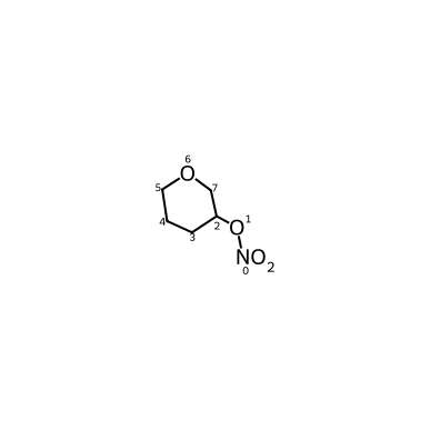 O=[N+]([O-])OC1CCCOC1